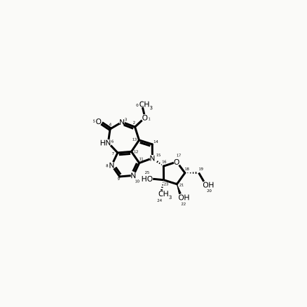 COC1=NC(=O)Nc2ncnc3c2c1cn3[C@@H]1O[C@H](CO)[C@@H](O)[C@@]1(C)O